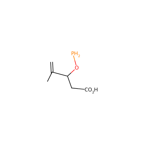 C=C(C)C(CC(=O)O)OP